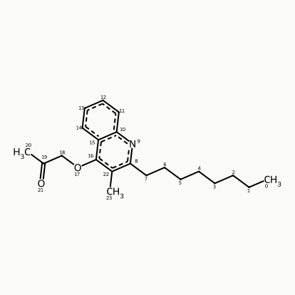 CCCCCCCCc1nc2ccccc2c(OCC(C)=O)c1C